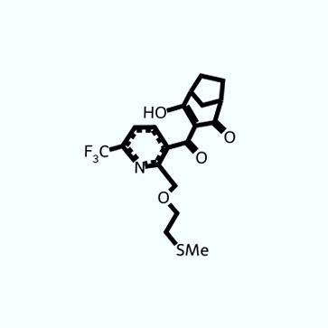 CSCCOCc1nc(C(F)(F)F)ccc1C(=O)C1=C(O)C2CCC(C2)C1=O